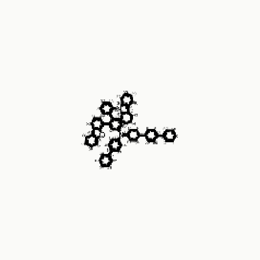 c1ccc(-c2ccc(-c3ccc(N(c4ccc(-c5ccccc5)cc4)c4ccc(-c5ccccc5-n5c6ccccc6c6ccccc65)c(-c5cccc6c5oc5ccccc56)c4)cc3)cc2)cc1